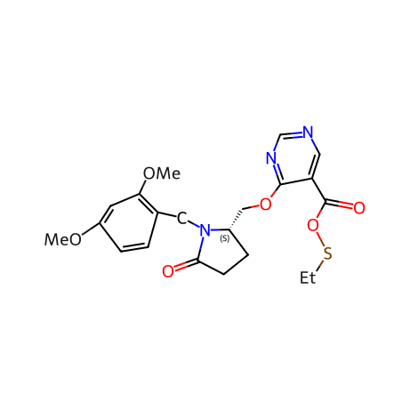 CCSOC(=O)c1cncnc1OC[C@@H]1CCC(=O)N1Cc1ccc(OC)cc1OC